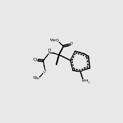 COC(=O)C(C)(NC(=O)OC(C)(C)C)c1cccc(N)c1